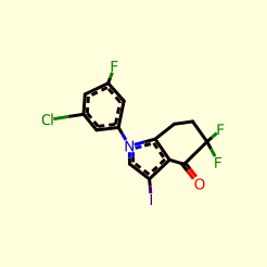 O=C1c2c(I)cn(-c3cc(F)cc(Cl)c3)c2CCC1(F)F